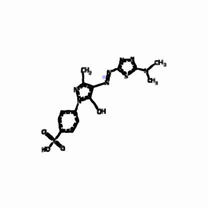 Cc1nn(-c2ccc(S(=O)(=O)O)cc2)c(O)c1/N=N/c1nnc(N(C)C)s1